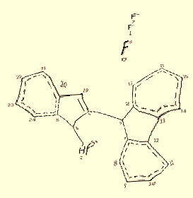 [F-].[F-].[F-].[Hf+3][CH]1C(C2c3ccccc3-c3ccccc32)=Cc2ccccc21